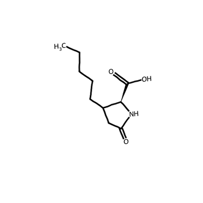 CCCCCC1CC(=O)N[C@@H]1C(=O)O